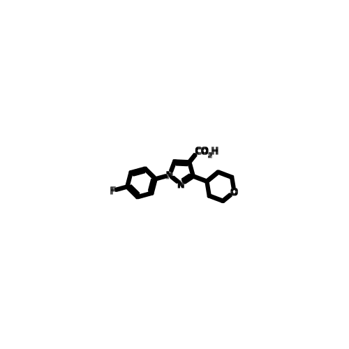 O=C(O)c1cn(-c2ccc(F)cc2)nc1C1CCOCC1